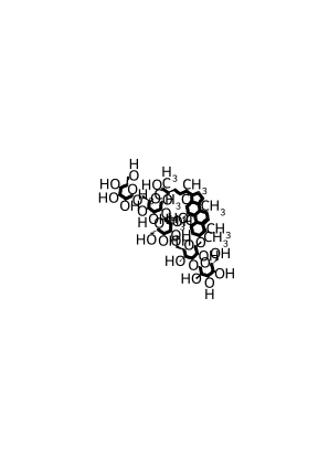 C[C@H](CC[C@@H](O[C@@H]1O[C@H](COC2O[C@H](CO)[C@@H](O)[C@H](O)[C@H]2O)[C@@H](O)[C@H](O)[C@H]1O[C@H]1O[C@@H](CO)[C@H](O)[C@@H](O)[C@@H]1O)C(C)(C)O)C1CC[C@@]2(C)C3CC=C4C(CC[C@H](O[C@@H]5O[C@H](CO)[C@@H](O)[C@H](O[C@@H]6O[C@H](CO)[C@@H](O)[C@H](O)[C@H]6O)[C@H]5O)C4(C)C)[C@]3(C)[C@H](O)C[C@]12C